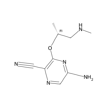 CNC[C@@H](C)Oc1nc(N)cnc1C#N